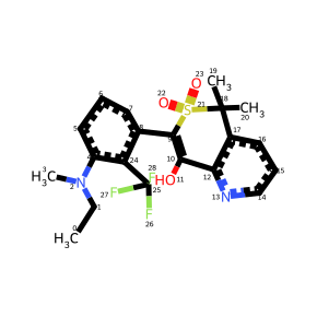 CCN(C)c1cccc(C2=C(O)c3ncccc3C(C)(C)S2(=O)=O)c1C(F)(F)F